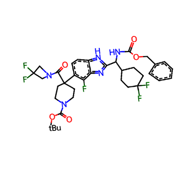 CC(C)(C)OC(=O)N1CCC(C(=O)N2CC(F)(F)C2)(c2ccc3[nH]c(C(NC(=O)OCc4ccccc4)C4CCC(F)(F)CC4)nc3c2F)CC1